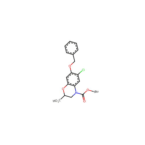 CC(C)(C)OC(=O)N1CC(C(=O)O)Oc2cc(OCc3ccccc3)c(Cl)cc21